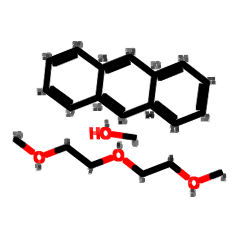 CO.COCCOCCOC.c1ccc2cc3ccccc3cc2c1